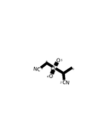 CC(C#N)S(=O)(=O)CC#N